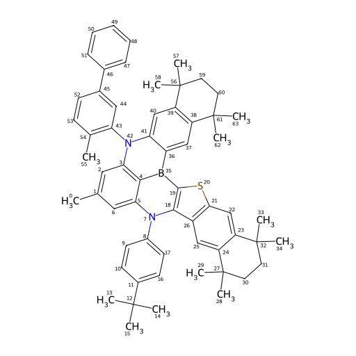 Cc1cc2c3c(c1)N(c1ccc(C(C)(C)C)cc1)c1c(sc4cc5c(cc14)C(C)(C)CCC5(C)C)B3c1cc3c(cc1N2c1cc(-c2ccccc2)ccc1C)C(C)(C)CCC3(C)C